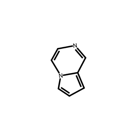 c1cc2cnccn2c1